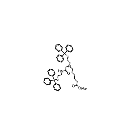 COC(=O)CCCCCN(CCSC(c1ccccc1)(c1ccccc1)c1ccccc1)CC(=O)NCCSC(c1ccccc1)(c1ccccc1)c1ccccc1